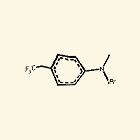 CC(C)N(C)c1ccc(C(F)(F)F)cc1